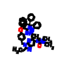 CCc1nc2cc(NC(=O)N(C)C)c(C)nc2n1Cc1ccc(OC(c2ccccc2)c2nnnn2C(c2ccccc2)(c2ccccc2)c2ccccc2)cc1